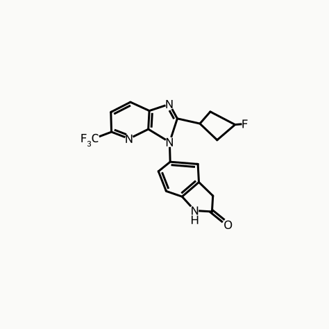 O=C1Cc2cc(-n3c(C4CC(F)C4)nc4ccc(C(F)(F)F)nc43)ccc2N1